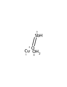 O.[Cu].[O]=[SbH]